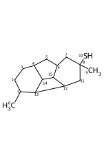 CC1CCC2CC3CC(C)(S)CC4C1C2C34